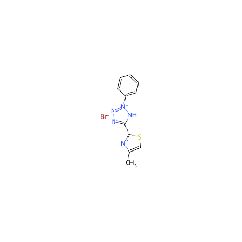 Cc1csc(-c2nn[n+](-c3ccccc3)[nH]2)n1.[Br-]